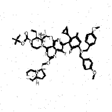 CC[C@H]1[C@H]2[C@H](C)Oc3nc(-c4c(F)c(N(Cc5ccc(OC)cc5)Cc5ccc(OC)cc5)cc(C)c4C4CC4)c(F)c4nc(OC[C@@H]5CC[C@H]6COCCN65)nc(c34)N2CCN1C(=O)OC(C)(C)C